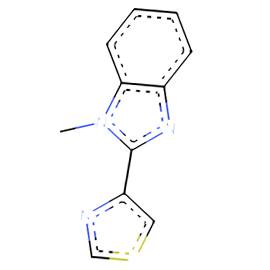 Cn1c(-c2cscn2)nc2ccccc21